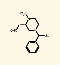 CC(C)(C)C(c1ccccc1)N1CCN(C(=O)O)[C@@H](CC=O)C1